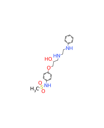 CS(=O)(=O)Nc1ccc(OC[C@H](O)CNCCNc2ccccc2)cc1